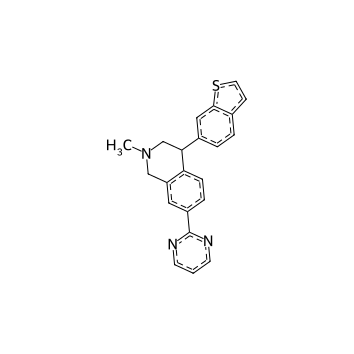 CN1Cc2cc(-c3ncccn3)ccc2C(c2ccc3ccsc3c2)C1